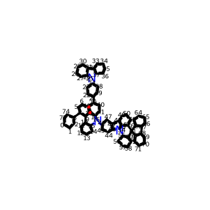 c1ccc(-c2ccccc2-c2ccccc2N(c2ccc(-c3ccc(-n4c5ccccc5c5ccccc54)cc3)cc2)c2ccc3c(c2)c2cccc4c2n3-c2ccccc2C42c3ccccc3-c3ccccc32)cc1